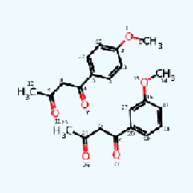 COc1ccc(C(=O)CC(C)=O)cc1.COc1cccc(C(=O)CC(C)=O)c1